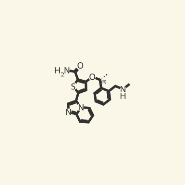 CNCc1ccccc1[C@@H](C)Oc1cc(-c2cnc3ccccn23)sc1C(N)=O